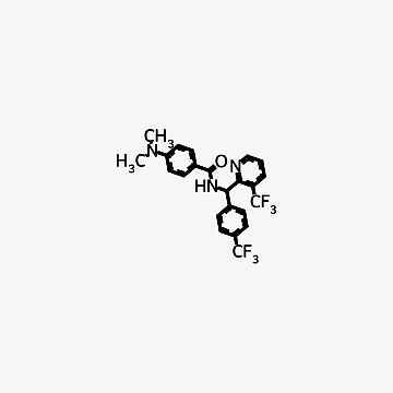 CN(C)c1ccc(C(=O)NC(c2ccc(C(F)(F)F)cc2)c2ncccc2C(F)(F)F)cc1